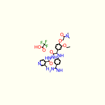 CCOc1cc(C(Nc2ccc(C(=N)N)cc2)C(=O)NNC(=O)c2ccncc2C)ccc1OCC(=O)N(C)C.O=C(O)C(F)(F)F